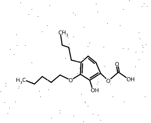 CCCCCOc1c(CCCC)ccc(OC(=O)O)c1O